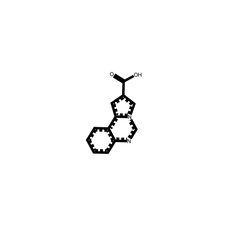 O=C(O)c1cc2c3ccccc3ncn2c1